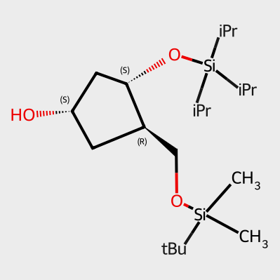 CC(C)[Si](O[C@H]1C[C@@H](O)C[C@@H]1CO[Si](C)(C)C(C)(C)C)(C(C)C)C(C)C